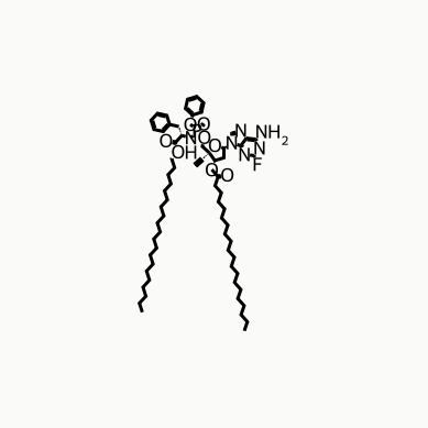 C#C[C@]1(COP(=O)(N[C@@H](Cc2ccccc2)C(=O)OCCCCCCCCCCCCCCCCCCCC)Oc2ccccc2)O[C@@H](n2cnc3c(N)nc(F)nc32)C[C@@H]1OC(=O)CCCCCCCCCCCCCCCCCCC